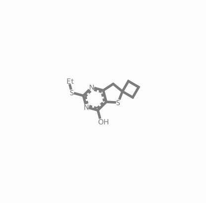 CCSc1nc(O)c2c(n1)CC1(CCC1)S2